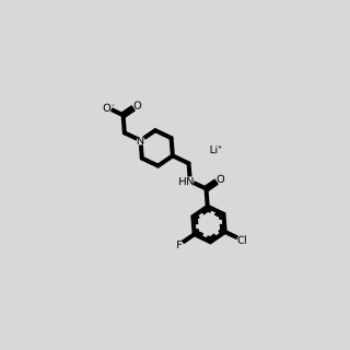 O=C([O-])CN1CCC(CNC(=O)c2cc(F)cc(Cl)c2)CC1.[Li+]